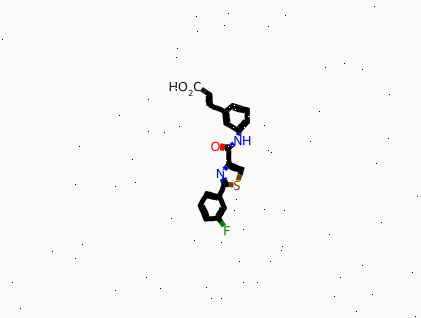 O=C(O)C=Cc1cccc(NC(=O)c2csc(-c3cccc(F)c3)n2)c1